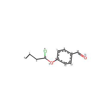 CCCC(Cl)Oc1ccc(C=O)cc1